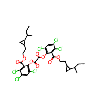 CCC(C)C1CC1CCOC(=O)c1c(Cl)c(Cl)cc(Cl)c1OC(=O)C(=O)Oc1c(Cl)cc(Cl)c(Cl)c1C(=O)OCCC1CC1C(C)CC